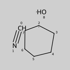 C#N.[CH]1CCCCC1.[OH]